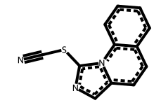 N#CSc1ncc2ccc3ccccc3n12